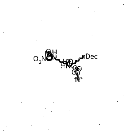 CCCCCCCCCCCCC/C=C/[C@@H](O)[C@H](COP(=O)([O-])OCC[N+](C)(C)C)NC(=O)CCCCCNc1ccc([N+](=O)[O-])c2nonc12